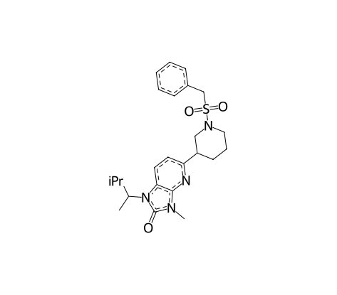 CC(C)C(C)n1c(=O)n(C)c2nc(C3CCCN(S(=O)(=O)Cc4ccccc4)C3)ccc21